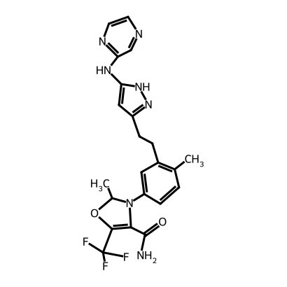 Cc1ccc(N2C(C(N)=O)=C(C(F)(F)F)OC2C)cc1CCc1cc(Nc2cnccn2)[nH]n1